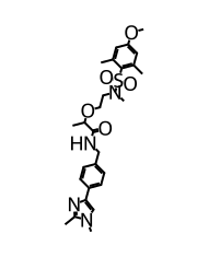 COc1cc(C)c(S(=O)(=O)N(C)CCOC(C)C(=O)NCc2ccc(-c3cn(C)c(C)n3)cc2)c(C)c1